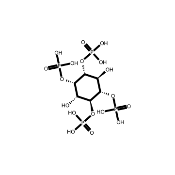 O=P(O)(O)O[C@@H]1[C@@H](O)[C@H](OP(=O)(O)O)[C@@H](OP(=O)(O)O)[C@H](O)[C@@H]1OP(=O)(O)O